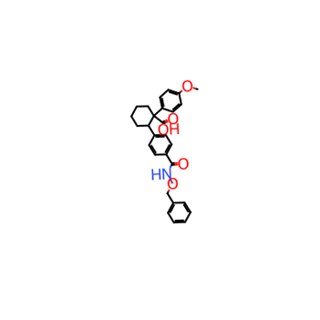 COc1ccc(C2(C(=O)O)CCCCC2c2ccc(C(=O)NOCc3ccccc3)cc2)cc1